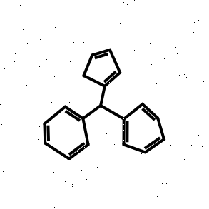 C1=CCC(C(c2ccccc2)c2ccccc2)=C1